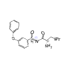 CC(C)C[C@H](N)C(=O)/N=[SH](=O)/c1cccc(Oc2ccccc2)c1